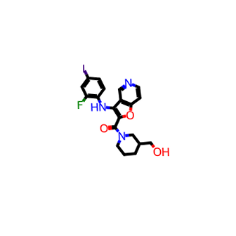 O=C(c1oc2ccncc2c1Nc1ccc(I)cc1F)N1CCCC(CO)C1